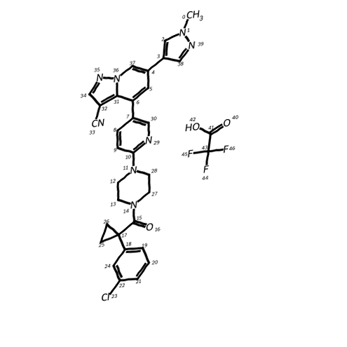 Cn1cc(-c2cc(-c3ccc(N4CCN(C(=O)C5(c6cccc(Cl)c6)CC5)CC4)nc3)c3c(C#N)cnn3c2)cn1.O=C(O)C(F)(F)F